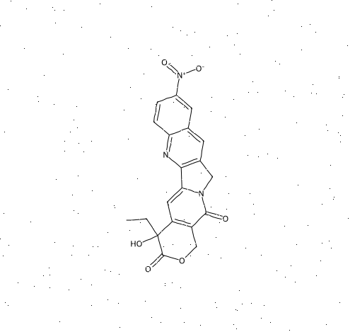 CCC1(O)C(=O)OCc2c1cc1n(c2=O)Cc2cc3cc([N+](=O)[O-])ccc3nc2-1